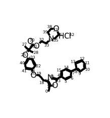 Cc1oc(-c2ccc(-c3ccccc3)cc2)nc1CCOc1ccc(OC(C)(C)C(=O)OCCN2CCOCC2)cc1.Cl